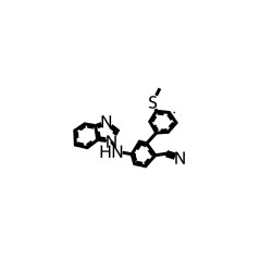 CSc1[c]ccc(-c2cc(Nn3cnc4ccccc43)ccc2C#N)c1